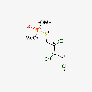 COP(=O)(OC)SCC(Cl)C(Cl)CCl